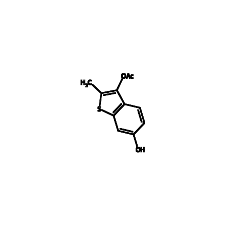 CC(=O)Oc1c(C)sc2cc(O)ccc12